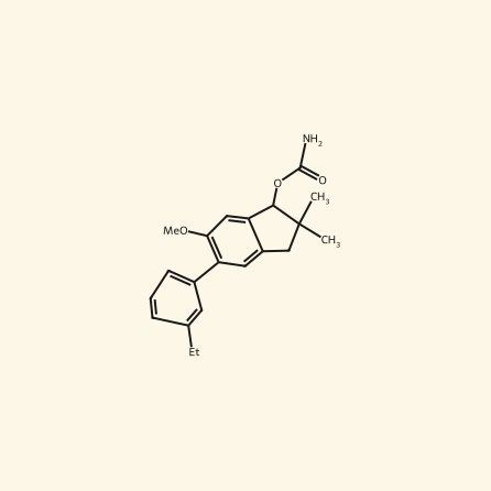 CCc1cccc(-c2cc3c(cc2OC)C(OC(N)=O)C(C)(C)C3)c1